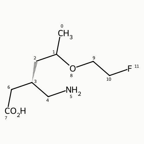 CC(C[C@H](CN)CC(=O)O)OCCF